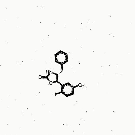 Cc1ccc(I)c(C2OC(=O)N[C@@H]2Cc2ccccc2)c1